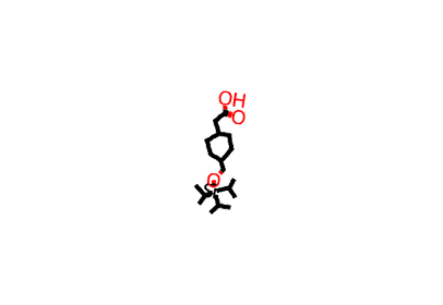 CC(C)[Si](OCC1CCC(CC(=O)O)CC1)(C(C)C)C(C)C